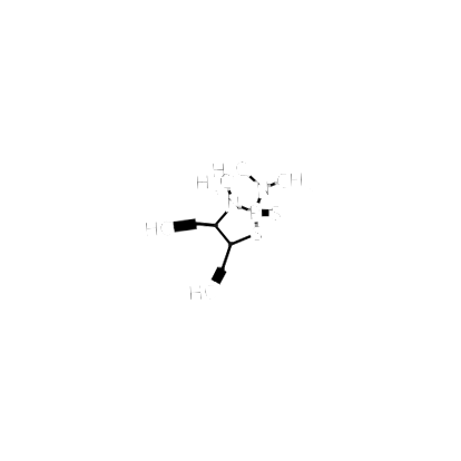 C#CC1SP(=S)(N(C)C)N(C)C1C#C